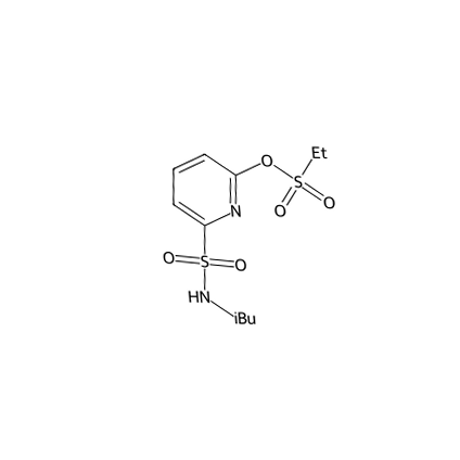 CCC(C)NS(=O)(=O)c1cccc(OS(=O)(=O)CC)n1